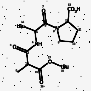 CC(C(=O)NC(C(=O)N1CCCC1C(=O)O)C(C)(C)C)C(=O)OC(C)(C)C